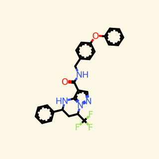 O=C(NCc1ccc(Oc2ccccc2)cc1)c1cnn2c1NC(c1ccccc1)CC2C(F)(F)F